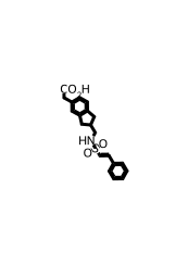 O=C(O)Cc1ccc2c(c1)CC(CNS(=O)(=O)C=Cc1ccccc1)C2